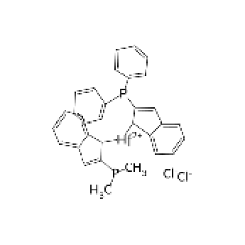 CP(C)C1=Cc2ccccc2[CH]1[Hf+2][CH]1C(P(c2ccccc2)c2ccccc2)=Cc2ccccc21.[Cl-].[Cl-]